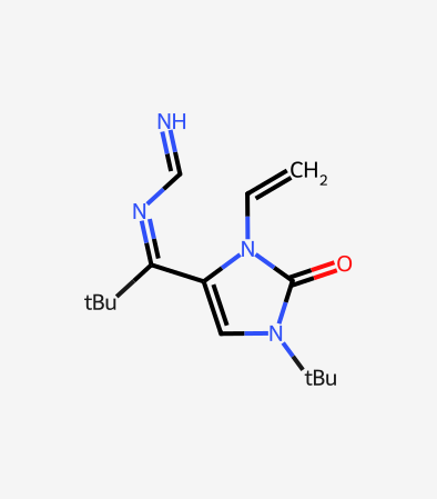 C=Cn1c(/C(=N\C=N)C(C)(C)C)cn(C(C)(C)C)c1=O